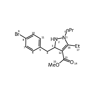 CCCN1NC(Cc2ccc(Br)cc2)C(C(=O)OC)=C1CC